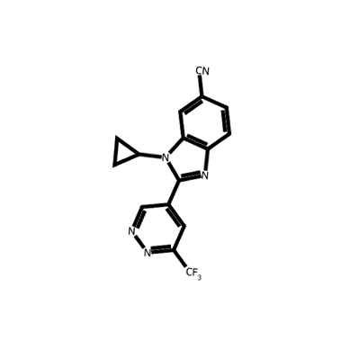 N#Cc1ccc2nc(-c3cnnc(C(F)(F)F)c3)n(C3CC3)c2c1